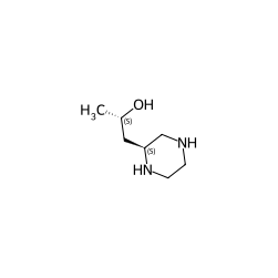 C[C@H](O)C[C@H]1CNCCN1